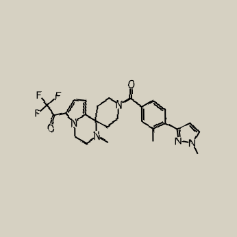 Cc1cc(C(=O)N2CCC3(CC2)c2ccc(C(=O)C(F)(F)F)n2CCN3C)ccc1-c1ccn(C)n1